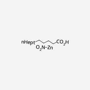 CCCCCCCCCCCC(=O)O.O=[N+]([O-])[Zn]